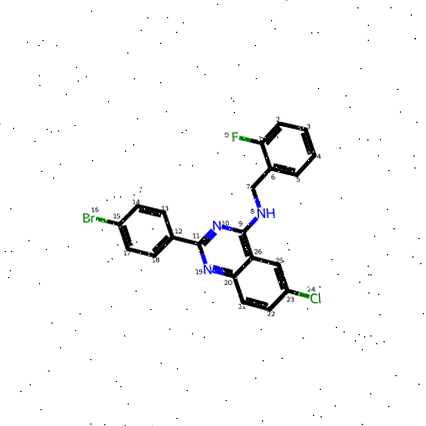 Fc1ccccc1CNc1nc(-c2ccc(Br)cc2)nc2ccc(Cl)cc12